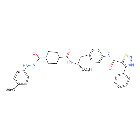 COc1ccc(NNC(=O)C2CCC(C(=O)N[C@@H](Cc3ccc(NC(=O)c4snnc4-c4ccccc4)cc3)C(=O)O)CC2)cc1